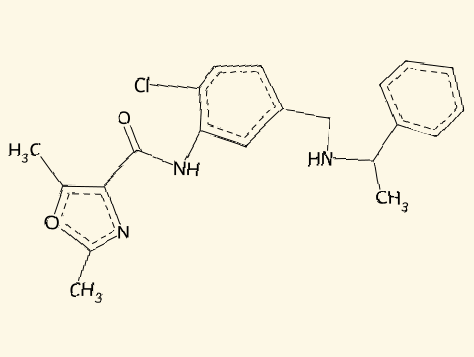 Cc1nc(C(=O)Nc2cc(CNC(C)c3ccccc3)ccc2Cl)c(C)o1